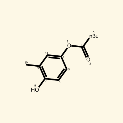 CCCCC(=O)Oc1ccc(O)c(C)c1